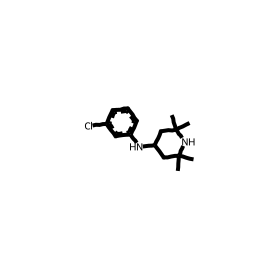 CC1(C)CC(Nc2cccc(Cl)c2)CC(C)(C)N1